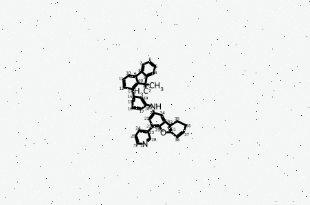 CC1(C)c2ccccc2-c2cccc(-c3cccc(Nc4cc(-c5cccnc5)c5oc6c(c5c4)CCC=C6)c3)c21